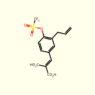 C=CCc1cc(C=C(C(=O)O)C(=O)O)ccc1OS(=O)(=O)C(F)(F)F